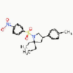 CCC1(CC)CC(c2ccc(C)cc2)CN1S(=O)(=O)c1ccc([N+](=O)[O-])cc1